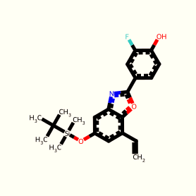 C=Cc1cc(O[Si](C)(C)C(C)(C)C)cc2nc(-c3ccc(O)c(F)c3)oc12